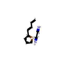 C=CC=Cc1cccs1.N#CC#N